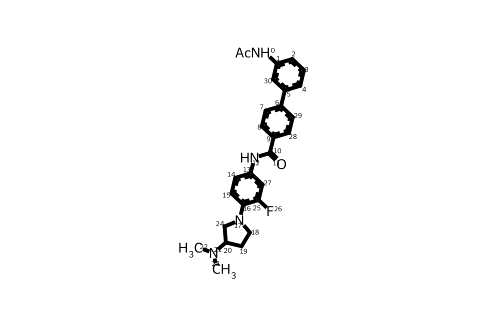 CC(=O)Nc1cccc(-c2ccc(C(=O)Nc3ccc(N4CCC(N(C)C)C4)c(F)c3)cc2)c1